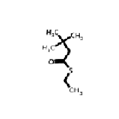 CCSC(=O)CC(C)(C)C